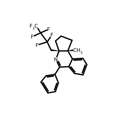 C[C@]12CCC[C@@]1(CC(F)(F)C(F)(F)C(F)(F)F)N=C(c1ccccc1)c1ccccc12